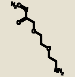 C=NC(=O)COCCOCCN